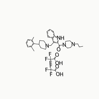 CCCN1CCN(C(=O)c2[nH]c3ccccc3c2CN2CCC(c3c(C)cccc3C)CC2)CC1.O=C(O)C(F)(F)F.O=C(O)C(F)(F)F